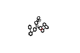 c1ccc(-c2ccccc2-c2ccc(N(c3cccc(-c4cccc5cccc(-c6ccccc6)c45)c3)c3ccc4c(c3)oc3ccccc34)cc2)cc1